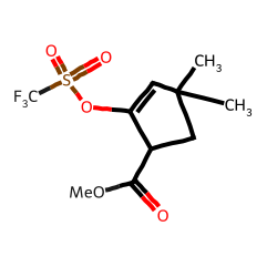 COC(=O)C1CC(C)(C)C=C1OS(=O)(=O)C(F)(F)F